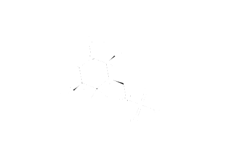 C[C@H]1[C@@H](CNS(C)(=O)=O)C(F)(F)[C@@H](C)CN1C(=O)O